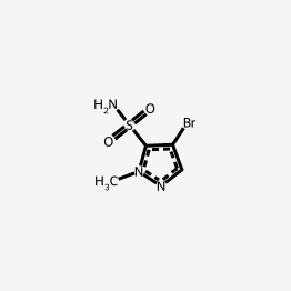 Cn1ncc(Br)c1S(N)(=O)=O